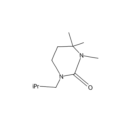 CC(C)CN1CCC(C)(C)N(C)C1=O